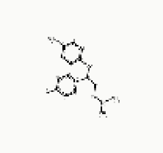 CN(C)CCC(Oc1ccc([N+](=O)[O-])cc1)c1ccc(Cl)cc1